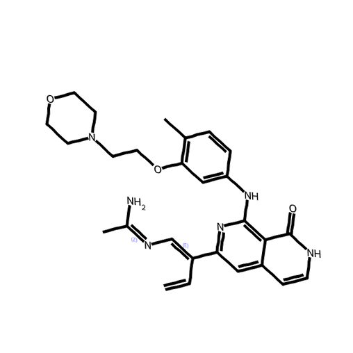 C=C/C(=C\N=C(\C)N)c1cc2cc[nH]c(=O)c2c(Nc2ccc(C)c(OCCN3CCOCC3)c2)n1